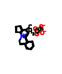 Cc1cc2[n+](c3c1=CC=C3)CC=c1ccccc1=2.[O-][Cl+3]([O-])([O-])[O-]